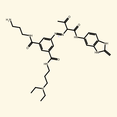 C=C1Nc2ccc(NC(=O)C(/N=N/c3cc(C(=O)NCCCN)cc(C(=O)NCCCN(CC)CC)c3)C(C)=O)cc2N1